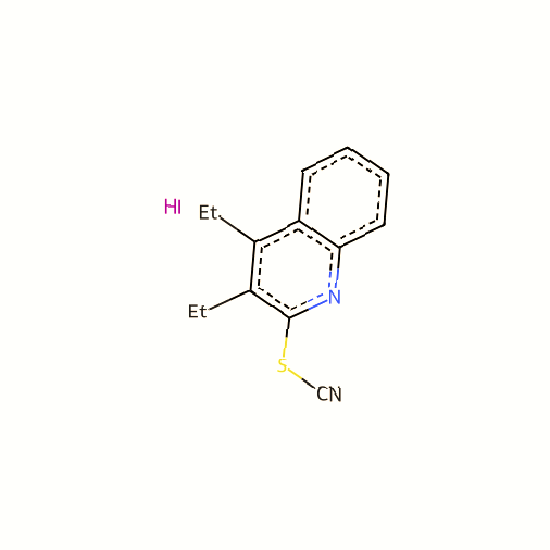 CCc1c(SC#N)nc2ccccc2c1CC.I